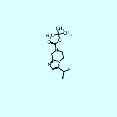 CC(C)(C)OC(=O)N1CCn2c(C(F)F)cnc2C1